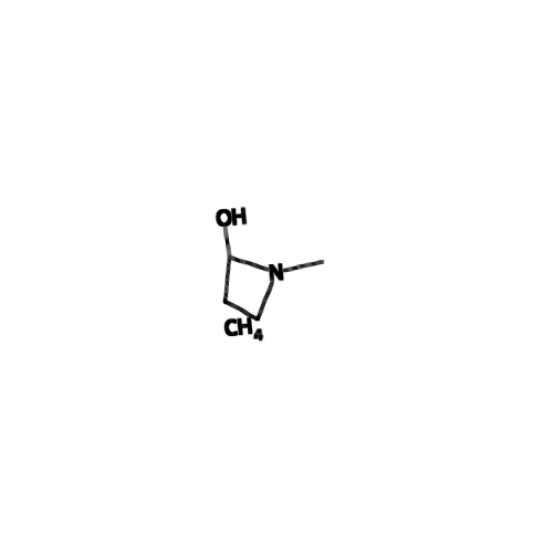 C.CN1CCC1O